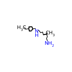 CCc1ccc(CNCCC/C=C(\C)CCCN)cc1